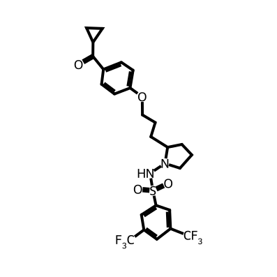 O=C(c1ccc(OCCCC2CCCN2NS(=O)(=O)c2cc(C(F)(F)F)cc(C(F)(F)F)c2)cc1)C1CC1